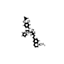 CN1CCCc2cc(CCC(F)(F)C(=O)N[C@@H](Cc3ccc(OC4CC4)c(Cl)c3)CN3CCCC3)ccc21